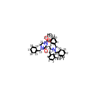 CCCc1cccc(C[C@@H](C[C@H]2C(=O)N(Cc3ccccc3)CCN2C(=O)OC(C)(C)C)N(Cc2ccccc2)Cc2ccccc2)c1